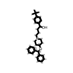 CC(C)(C)c1ccc(C(O)CCCN2CCC(OC(c3ccccc3)c3ccccc3)CC2)cc1